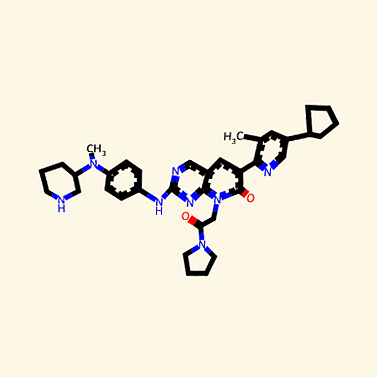 Cc1cc(C2CCCC2)cnc1-c1cc2cnc(Nc3ccc(N(C)C4CCCNC4)cc3)nc2n(CC(=O)N2CCCC2)c1=O